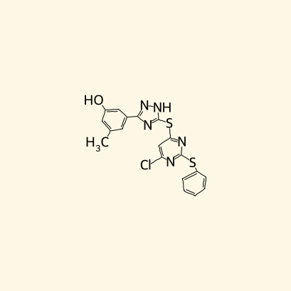 Cc1cc(O)cc(-c2n[nH]c(Sc3cc(Cl)nc(Sc4ccccc4)n3)n2)c1